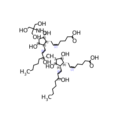 CCCCC[C@H](O)/C=C/[C@@H]1[C@@H](C/C=C\CCCC(=O)O)[C@@H](O)C[C@H]1O.CCCCC[C@](C)(O)/C=C/[C@@H]1[C@@H](C/C=C\CCCC(=O)O)[C@@H](O)C[C@H]1O.NC(CO)(CO)CO